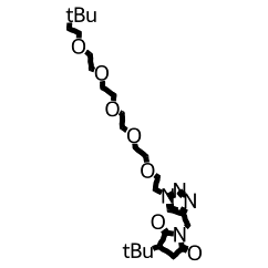 CC(C)(C)CCOCCOCCOCCOCCOCCn1cc(CN2C(=O)CC(C(C)(C)C)C2=O)nn1